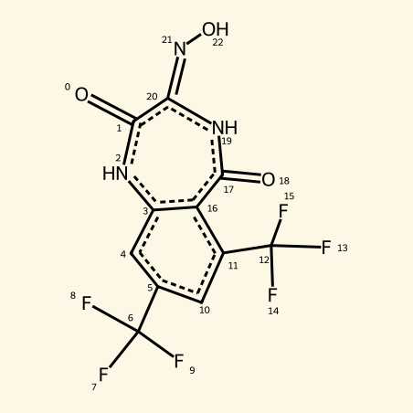 O=c1[nH]c2cc(C(F)(F)F)cc(C(F)(F)F)c2c(=O)[nH]c1=NO